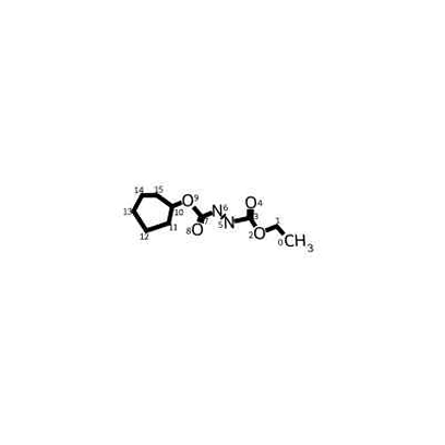 CCOC(=O)/N=N/C(=O)OC1CCCCC1